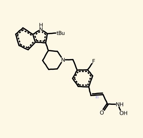 CC(C)(C)c1[nH]c2ccccc2c1C1CCCN(Cc2ccc(/C=C/C(=O)NO)cc2F)C1